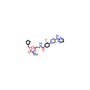 CC(C)(C)N(OC(=O)CCNC(=O)c1ccc(N2CCC(Nc3ncccn3)CC2)c(F)c1)C(=O)OCc1ccccc1